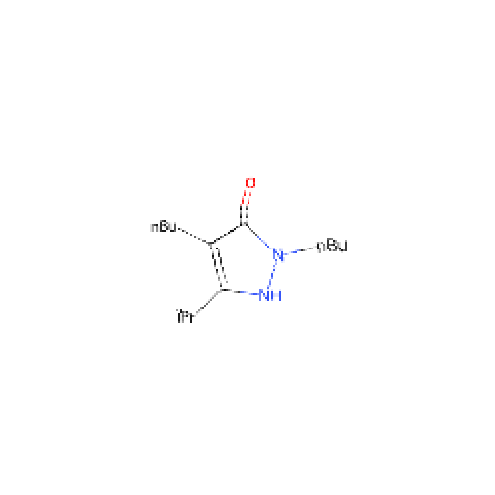 CCCCc1c(C(C)C)[nH]n(CCCC)c1=O